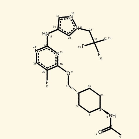 CC(=O)N[C@H]1CC[C@H](COc2nc(Nc3cnn(CC(F)(F)F)c3)ncc2F)CC1